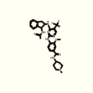 COc1cc(C(=O)NC2CCN(C)CC2)ccc1Nc1ncc(C(F)(F)F)c(NC2Cc3ccccc3C2NC(C)=O)n1